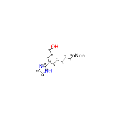 CCCCCCCCCCCCCCC(CCCO)C1=NCCN1